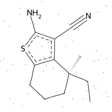 CC[C@@]1(C)CCCc2sc(N)c(C#N)c21